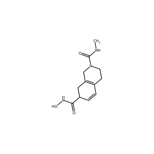 CNC(=O)N1CCC2=C(CC(C(=O)NO)C=C2)C1